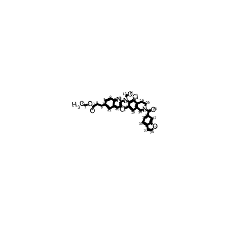 CCOC(=O)CCc1ccc2nc(N(C=O)c3c(Cl)cc4c(c3Cl)CCN(C(=O)c3ccc5ccoc5c3)C4)ccc2c1